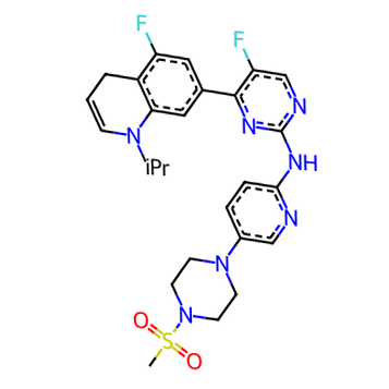 CC(C)N1C=CCc2c(F)cc(-c3nc(Nc4ccc(N5CCN(S(C)(=O)=O)CC5)cn4)ncc3F)cc21